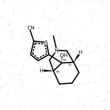 CN1C[C@H]2CCC[C@@H](C1)[C@]2(O)c1ccc(C#N)s1